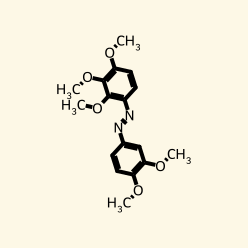 COc1ccc(N=Nc2ccc(OC)c(OC)c2OC)cc1OC